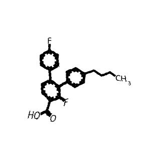 CCCCc1ccc(-c2c(-c3ccc(F)cc3)ccc(C(=O)O)c2F)cc1